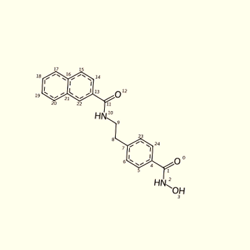 O=C(NO)c1ccc(CCNC(=O)c2ccc3ccccc3c2)cc1